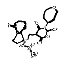 CC(C)(C)[S@+]([O-])N[C@@]1(CCC2C(=O)NC(=O)N(C3CCOCC3)C2=O)CCc2c(F)cccc21